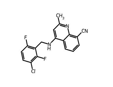 Cc1cc(NCc2c(F)ccc(Cl)c2F)c2cccc(C#N)c2n1